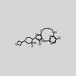 FC1(F)CN(C2COC2)CCC1n1nc2c(c1Cl)Nc1ncc(Cl)c(n1)NCCCO2